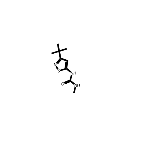 CNC(=O)Nc1cc(C(C)(C)C)ns1